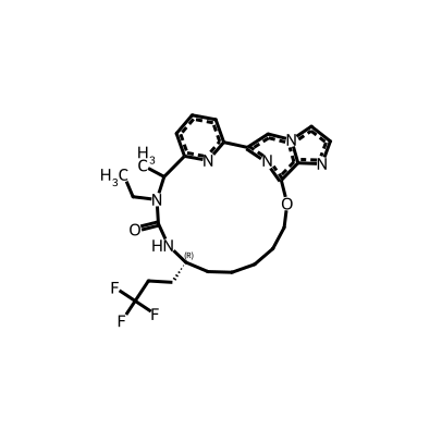 CCN1C(=O)N[C@@H](CCC(F)(F)F)CCCCCOc2nc(cn3ccnc23)-c2cccc(n2)C1C